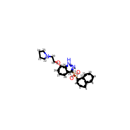 O=S(=O)(c1cccc2ccccc12)c1n[nH]c2c(OCCN3CCCC3)cccc12